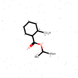 CCCCCCCCCC(OC(=O)C1CCCCC1C(=O)O)C(C)CC